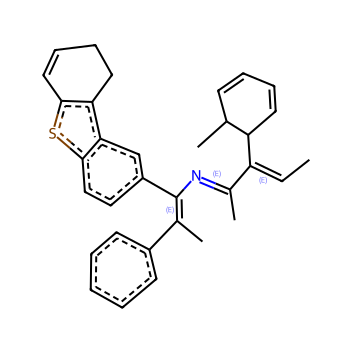 C/C=C(/C(C)=N/C(=C(\C)c1ccccc1)c1ccc2sc3c(c2c1)CCC=C3)C1C=CC=CC1C